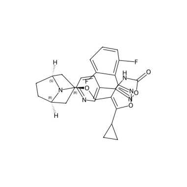 O=c1[nH]c(-c2ccc(N3[C@@H]4CC[C@H]3C[C@@H](OCc3c(-c5c(F)cccc5F)noc3C3CC3)C4)nc2)no1